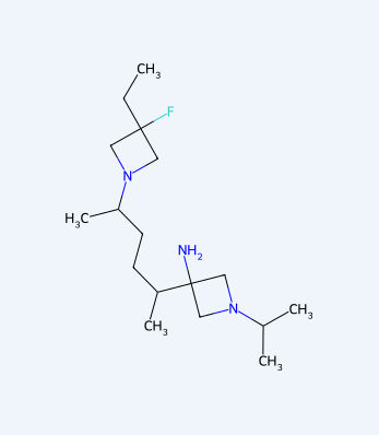 CCC1(F)CN(C(C)CCC(C)C2(N)CN(C(C)C)C2)C1